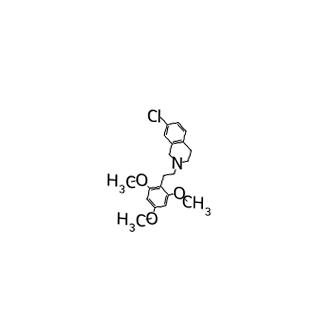 COc1cc(OC)c(CCN2CCc3ccc(Cl)cc3C2)c(OC)c1